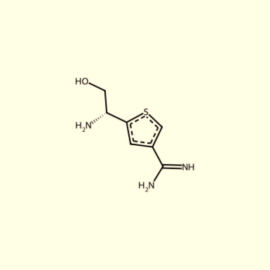 N=C(N)c1csc([C@H](N)CO)c1